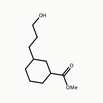 COC(=O)C1CCCC(CCCO)C1